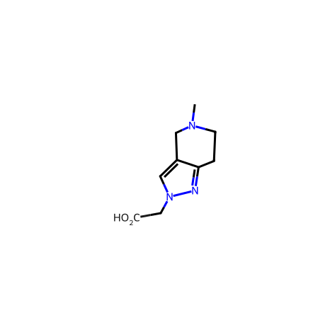 CN1CCc2nn(CC(=O)O)cc2C1